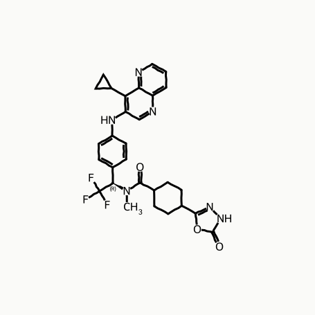 CN(C(=O)C1CCC(c2n[nH]c(=O)o2)CC1)[C@H](c1ccc(Nc2cnc3cccnc3c2C2CC2)cc1)C(F)(F)F